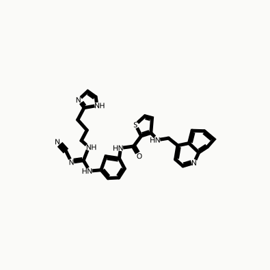 N#C/N=C(\NCCCc1ncc[nH]1)Nc1cccc(NC(=O)c2sccc2NCc2ccnc3ccccc23)c1